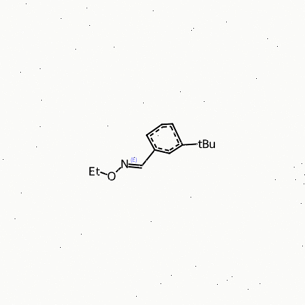 CCO/N=C/c1cccc(C(C)(C)C)c1